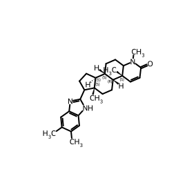 Cc1cc2nc(C3CC[C@H]4[C@@H]5CCC6N(C)C(=O)C=C[C@]6(C)[C@@H]5CC[C@]34C)[nH]c2cc1C